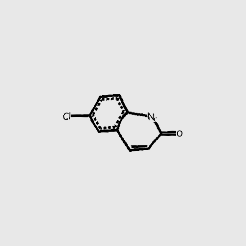 O=C1C=Cc2cc(Cl)ccc2[N]1